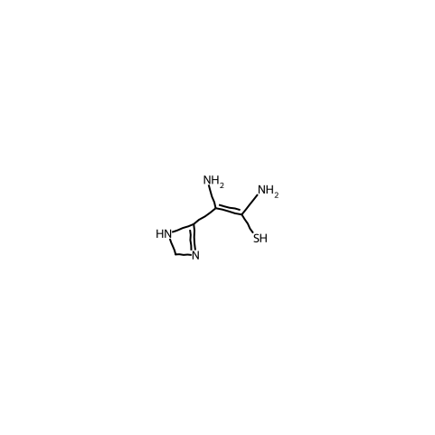 NC(S)=C(N)C1=NCN1